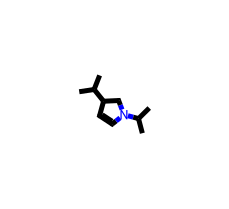 CC(C)C1C=CN(C(C)C)C1